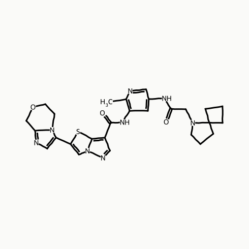 Cc1ncc(NC(=O)CN2CCCC23CCC3)cc1NC(=O)c1cnn2cc(-c3cnc4n3CCOC4)sc12